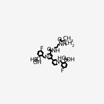 C=C(C)C(=O)NCCCNC(=O)c1cc(-c2ccc[n+](Cc3cc(F)ccc3B(O)O)c2)c[n+](Cc2cc(F)ccc2OBO)c1